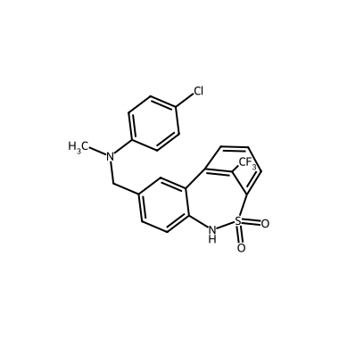 CN(Cc1ccc2c(c1)-c1cccc(c1C(F)(F)F)S(=O)(=O)N2)c1ccc(Cl)cc1